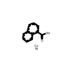 O=C(O)c1cccc2ccccc12.[Co].[Ni]